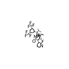 C=CN(/C=C(\C(N)=O)c1cccnc1F)/N=C(/c1cc(C(F)(F)F)cc(C(F)(F)F)c1)C(C)C